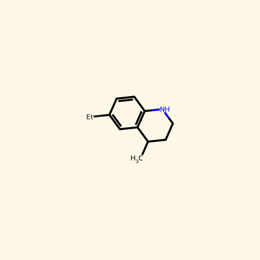 CCc1ccc2c(c1)C(C)CCN2